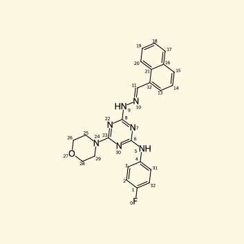 Fc1ccc(Nc2nc(N/N=C/c3cccc4ccccc34)nc(N3CCOCC3)n2)cc1